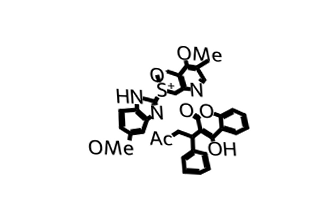 CC(=O)CC(c1ccccc1)c1c(O)c2ccccc2oc1=O.COc1ccc2[nH]c([S+]([O-])Cc3ncc(C)c(OC)c3C)nc2c1